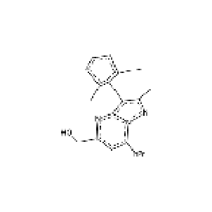 CCCc1cc(CO)nc2c(-c3c(C)cccc3C)c(C)nn12